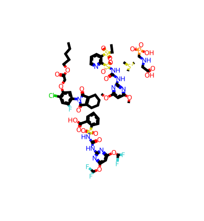 CCCCCOC(=O)COc1cc(N2C(=O)C3=C(CCCC3)C2=O)c(F)cc1Cl.CCS(=O)(=O)c1cccnc1S(=O)(=O)NC(=O)Nc1nc(OC)cc(OC)n1.C[S+](C)C.O=C(Nc1nc(OC(F)F)cc(OC(F)F)n1)NS(=O)(=O)c1ccccc1C(=O)O.O=C(O)CNCP(=O)([O-])O